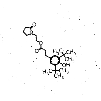 CC(C)(C)c1cc(CCC(=O)OCCN2CCCC2=O)cc(C(C)(C)C)c1O